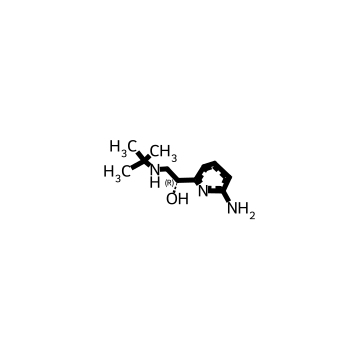 CC(C)(C)NC[C@@H](O)c1cccc(N)n1